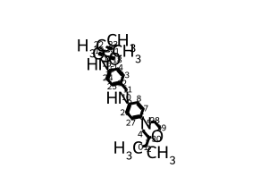 CC(C)C1CN(c2ccc(NCc3ccc(NS(=O)(=O)C(C)(C)C)cc3)cc2)CCO1